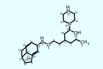 CCCC(CCOB[C@H]1C=C2CCC3CC1C[C@@H]23)C[C@H](O)N1CCNCC1